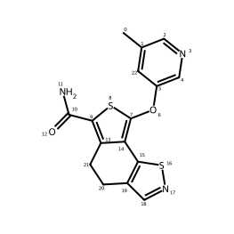 Cc1cncc(Oc2sc(C(N)=O)c3c2-c2sncc2CC3)c1